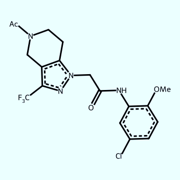 COc1ccc(Cl)cc1NC(=O)Cn1nc(C(F)(F)F)c2c1CCN(C(C)=O)C2